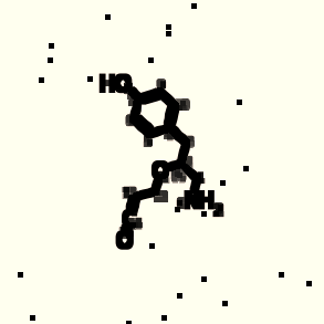 NC[C@H](Cc1ccc(O)cc1)OCC=C=O